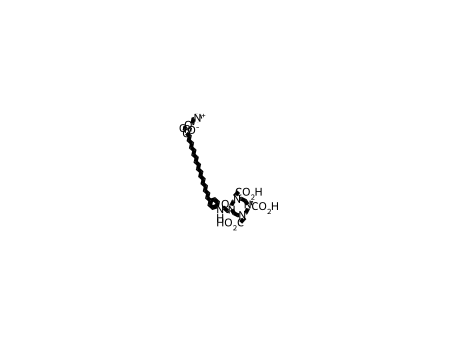 C[N+](C)(C)CCOP(=O)([O-])OCCCCCCCCCCCCCCCCCCc1ccc(NC(=O)CN2CCN(CC(=O)O)CCN(CC(=O)O)CCN(CC(=O)O)CC2)cc1